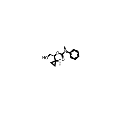 CN(C(=O)O[C@H](CO)C1(O)CC1)c1ccccc1